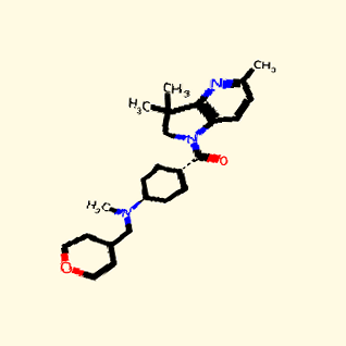 Cc1ccc2c(n1)C(C)(C)CN2C(=O)[C@H]1CC[C@H](N(C)CC2CCOCC2)CC1